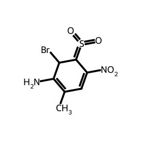 CC1=C(N)C(Br)C(=S(=O)=O)C([N+](=O)[O-])=C1